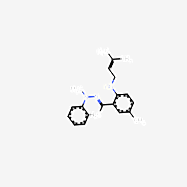 CC(C)=CCNc1ccc(C)cc1/C(C)=N/N(C)c1ccccc1